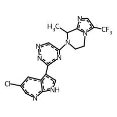 CC1c2ncc(C(F)(F)F)n2CCN1c1cnnc(-c2c[nH]c3ncc(Cl)cc23)n1